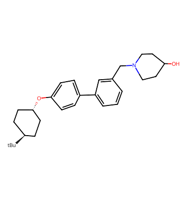 CC(C)(C)[C@H]1CC[C@H](Oc2ccc(-c3cccc(CN4CCC(O)CC4)c3)cc2)CC1